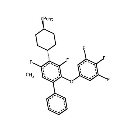 C.CCCCC[C@H]1CC[C@H](c2c(F)cc(-c3ccccc3)c(Oc3cc(F)c(F)c(F)c3)c2F)CC1